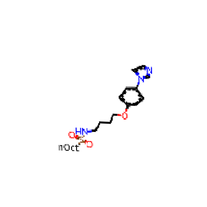 CCCCCCCCS(=O)(=O)NCCCCOc1ccc(-n2ccnc2)cc1